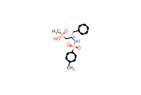 Cc1ccc(S(=O)(=O)N[C@@H](Cc2ccccc2)CP(C)(=O)O)cc1